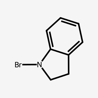 BrN1CCc2ccccc21